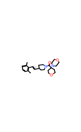 Cc1cccc(C)c1/C=C/C1CCN(C(=O)C2(N3CCOCC3)CCOCC2)CC1